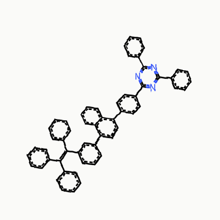 c1ccc(C(=C(c2ccccc2)c2cccc(-c3ccc(-c4ccc(-c5nc(-c6ccccc6)nc(-c6ccccc6)n5)cc4)c4ccccc34)c2)c2ccccc2)cc1